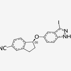 N#Cc1ccc2c(c1)CC[C@@H]2Oc1ccc2[nH]nc(I)c2c1